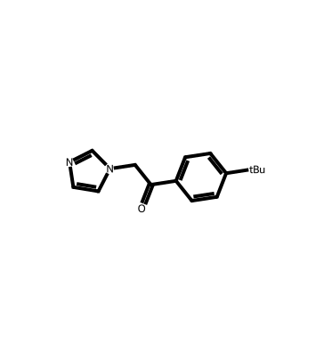 CC(C)(C)c1ccc(C(=O)Cn2ccnc2)cc1